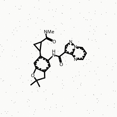 CNC(=O)C1CC1c1cc2c(cc1NC(=O)c1cnn3cccnc13)CC(C)(C)O2